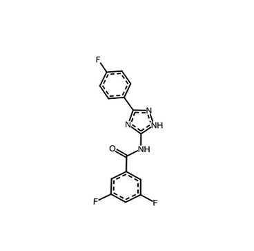 O=C(Nc1nc(-c2ccc(F)cc2)n[nH]1)c1cc(F)cc(F)c1